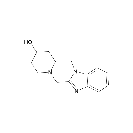 Cn1c(CN2CCC(O)CC2)nc2ccccc21